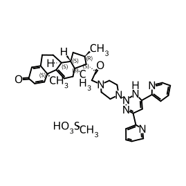 CS(=O)(=O)O.C[C@@H]1C[C@H]2[C@@H]3CCC4=CC(=O)C=C[C@]4(C)C3=CC[C@]2(C)[C@H]1C(=O)CN1CCN(N2N=C(c3ccccn3)C=C(c3ccccn3)N2)CC1